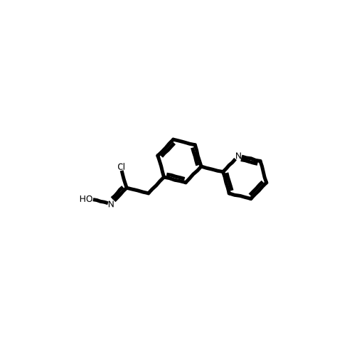 ON=C(Cl)Cc1cccc(-c2ccccn2)c1